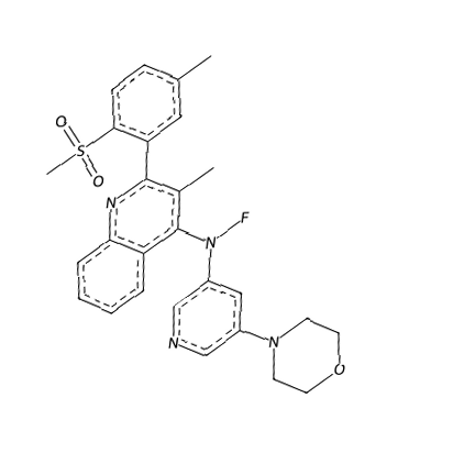 Cc1ccc(S(C)(=O)=O)c(-c2nc3ccccc3c(N(F)c3cncc(N4CCOCC4)c3)c2C)c1